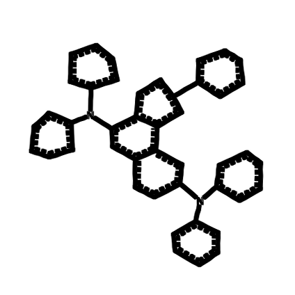 c1ccc(-c2ccc3c(N(c4ccccc4)c4ccccc4)cc4ccc(N(c5ccccc5)c5ccccc5)cc4c3c2)cc1